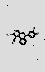 N#Cc1c(N)ncc2c1-c1ccccc1C(c1ccc(F)c(F)c1)C2